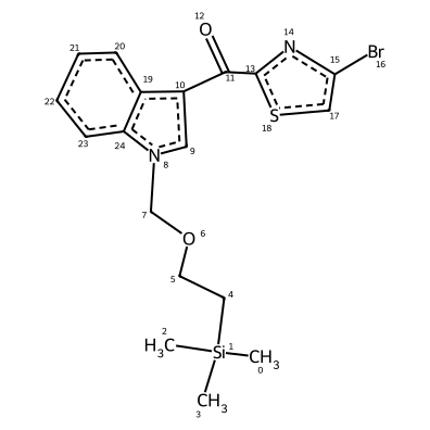 C[Si](C)(C)CCOCn1cc(C(=O)c2nc(Br)cs2)c2ccccc21